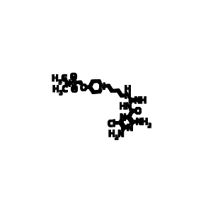 CN(C)S(=O)(=O)COC1CCN(CCCCNC(=N)NC(=O)c2nc(Cl)c(N)nc2N)CC1